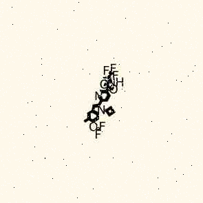 Cc1cc2cc(-c3ccc(S(=O)(=O)N[C@@H](C)C(F)(F)F)cn3)n(C3CCC3)c2cc1OC(F)F